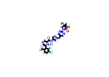 O=C(Nc1cnn(Cc2cnc(N3C[C@H]4C[C@H]4C3=O)nc2)c1)c1cncc(-c2c(C(F)F)ccc(Cl)c2F)n1